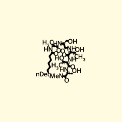 CCCCCCCCCCCCCCCC(=O)N[C@@H](C)C(=O)N[C@@H](CO)C(=O)N[C@H](C(=O)N[C@H](C(=O)N[C@@H](CO)C(=O)NC)[C@@H](C)O)[C@@H](C)O